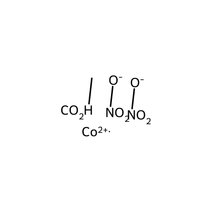 CC(=O)O.O=[N+]([O-])[O-].O=[N+]([O-])[O-].[Co+2]